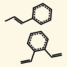 C=Cc1ccccc1C=C.CC=Cc1ccccc1